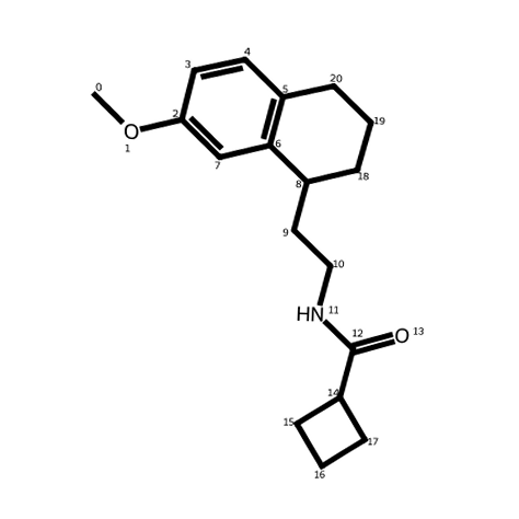 COc1ccc2c(c1)C(CCNC(=O)C1CCC1)CCC2